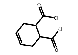 O=C(Cl)C1CC=CCC1C(=O)Cl